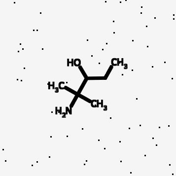 CCC(O)C(C)(C)N